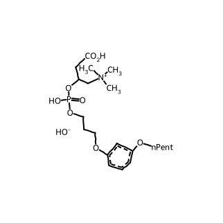 CCCCCOc1cccc(OCCCOP(=O)(O)OC(CC(=O)O)C[N+](C)(C)C)c1.[OH-]